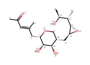 CC(=O)/C=C(\C)C[C@@H]1OC[C@H](C[C@@H]2O[C@H]2[C@@H](C)[C@H](C)O)[C@@H](O)[C@H]1O